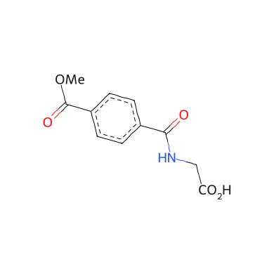 COC(=O)c1ccc(C(=O)NCC(=O)O)cc1